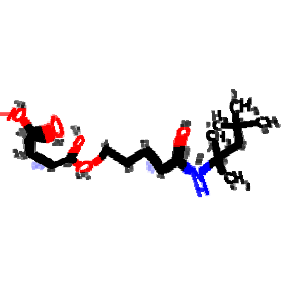 CC(C)(C)CC(C)(C)NC(=O)/C=C/CCOC(=O)/C=C\C(=O)O